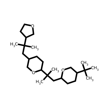 CC(C)(C)C1CCC(CC(C)(C)C2CCC(CC(C)(C)C3CCOC3)CO2)OC1